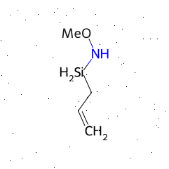 C=CC[SiH2]NOC